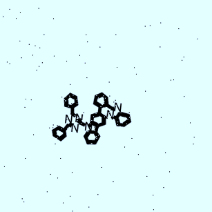 c1ccc(-c2nc(-c3ccccc3)nc(-n3c4ccccc4c4cc5c(cc43)c3ccccc3c3nc4ccccc4n53)n2)cc1